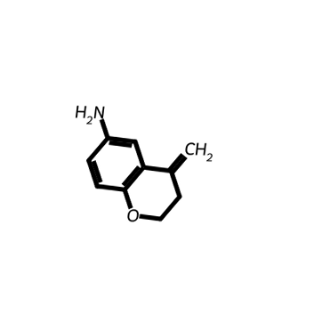 C=C1CCOc2ccc(N)cc21